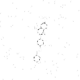 O=[SH](=O)c1ccc2nc(-c3ccc(OCc4ccccc4)cc3)cc(Cl)c2c1